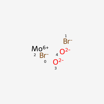 [Br-].[Br-].[Mo+6].[O-2].[O-2]